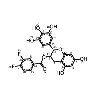 O=C(O[C@@H]1Cc2c(O)cc(O)cc2O[C@@H]1c1cc(O)c(O)c(O)c1)c1ccc(F)c(F)c1